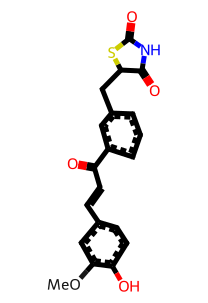 COc1cc(C=CC(=O)c2cccc(CC3SC(=O)NC3=O)c2)ccc1O